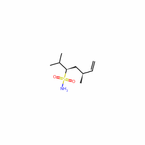 C=C[C@@H](C)C[C@H](C(C)C)S(N)(=O)=O